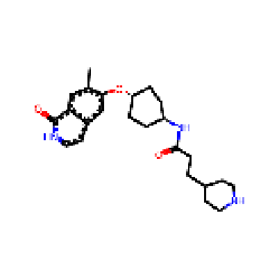 Cc1cc2c(=O)[nH]ccc2cc1O[C@H]1CC[C@H](NC(=O)CCC2CCNCC2)CC1